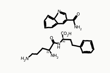 NC(=O)c1cnc2ccccc2c1.NCCC[C@H](N)C(=O)N[C@H](CCc1ccccc1)C(=O)O